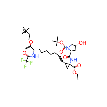 C=C(OCC[Si](C)(C)C)[C@H](CCCCCC#C[C@@H]1C[C@]1(NC(=O)[C@@H]1C[C@@H](O)CN1C(=O)OC(C)(C)C)C(=O)OCC)NC(=O)C(F)(F)F